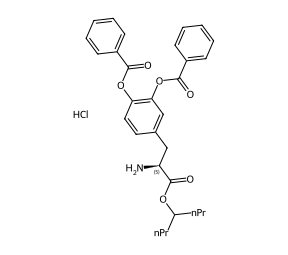 CCCC(CCC)OC(=O)[C@@H](N)Cc1ccc(OC(=O)c2ccccc2)c(OC(=O)c2ccccc2)c1.Cl